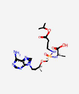 CC(C)OC(=O)CCN[P@@](=O)(CO[C@H](C)Cn1cnc2c(N)ncnc21)N[C@H](C)C(=O)O